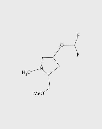 COCC1CC(OC(F)F)CN1C